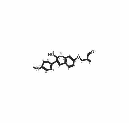 C=C(C=O)COc1ccc2c(c1)OC(O)C(c1ccc(OC)cc1)=C2